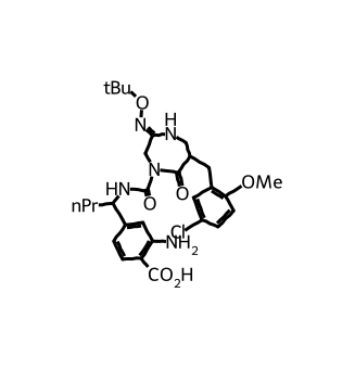 CCCC(NC(=O)N1C/C(=N/OC(C)(C)C)NCC(Cc2cc(Cl)ccc2OC)C1=O)c1ccc(C(=O)O)c(N)c1